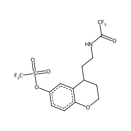 O=C(NCCC1CCOc2ccc(OS(=O)(=O)C(F)(F)F)cc21)C(F)(F)F